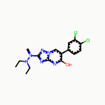 C=[N+](c1nc2nc(O)c(-c3ccc(Cl)c(Cl)c3)cn2n1)N(CC)CC